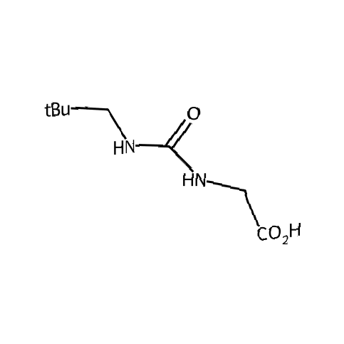 CC(C)(C)CNC(=O)NCC(=O)O